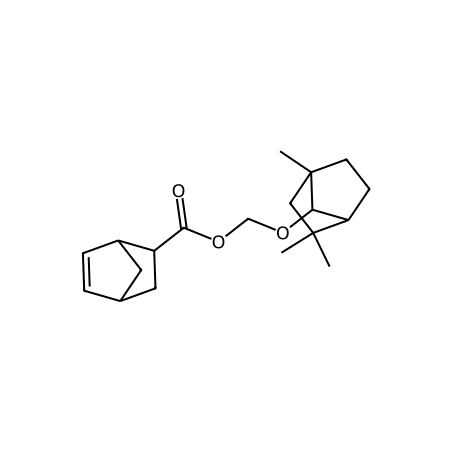 CC1(C)CC2(C)CCC1C2OCOC(=O)C1CC2C=CC1C2